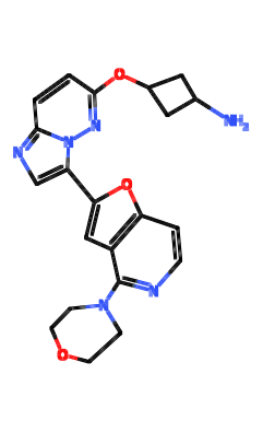 NC1CC(Oc2ccc3ncc(-c4cc5c(N6CCOCC6)nccc5o4)n3n2)C1